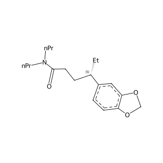 CCCN(CCC)C(=O)CC[C@H](CC)c1ccc2c(c1)OCO2